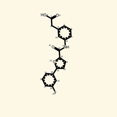 O=C(O)Cc1cccc(NC(=O)c2ccc(-c3cccc(F)c3)o2)c1